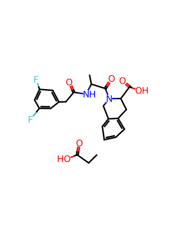 CC(NC(=O)Cc1cc(F)cc(F)c1)C(=O)N1Cc2ccccc2CC1C(=O)O.CCC(=O)O